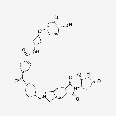 N#Cc1ccc(O[C@H]2C[C@H](NC(=O)c3ccc(C(=O)N4CCC(CN5Cc6cc7c(cc6C5)C(=O)N(C5CCC(=O)NC5=O)C7=O)CC4)cc3)C2)cc1Cl